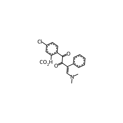 CN(C)C=C(C(=O)C(=O)c1ccc(Cl)cc1C(=O)O)c1ccccc1